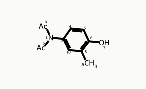 CC(=O)N(C(C)=O)c1ccc(O)c(C)c1